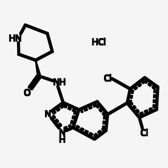 Cl.O=C(Nc1n[nH]c2ccc(-c3c(Cl)cccc3Cl)cc12)[C@@H]1CCCNC1